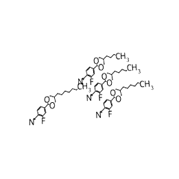 CCCCC1COC(c2ccc(C#N)c(F)c2)OC1.CCCCCC1COC(c2ccc(C#N)c(F)c2)OC1.CCCCCCC1COC(c2ccc(C#N)c(F)c2)OC1.CCCCCCCC1COC(c2ccc(C#N)c(F)c2)OC1